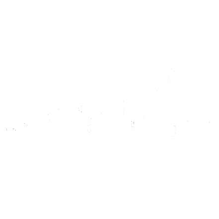 CCOC(=O)CCC(CC(=O)OCC)NC(=O)CCC(=O)Nc1ccc(C=NN)cc1